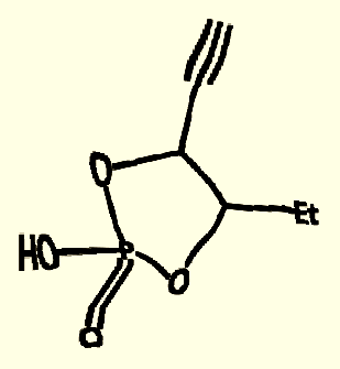 C#CC1OP(=O)(O)OC1CC